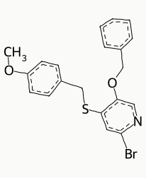 COc1ccc(CSc2cc(Br)ncc2OCc2ccccc2)cc1